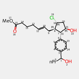 CCCC(O)c1ccc([C@@H]2[C@@H](CC=CCCCC(=O)OC)[C@H](Cl)C[C@H]2O)cc1